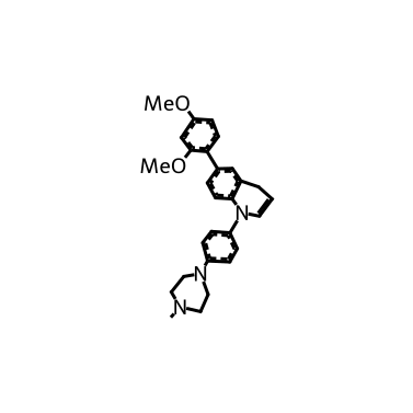 COc1ccc(-c2ccc3c(c2)CC=CN3c2ccc(N3CCN(C)CC3)cc2)c(OC)c1